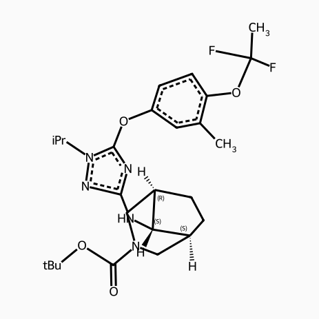 Cc1cc(Oc2nc(N[C@@H]3[C@@H]4CC[C@H]3CN(C(=O)OC(C)(C)C)C4)nn2C(C)C)ccc1OC(C)(F)F